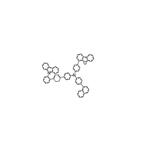 C1=C(c2ccc(N(c3ccc(-c4cccc5ccccc45)cc3)c3ccc(-c4cccc5c4oc4ccccc45)cc3)cc2)CCC(c2ccccc2-n2c3ccccc3c3ccccc32)=C1